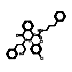 O=C(NCCCc1ccccc1)[C@@H]1c2ccccc2C(=O)N(C(CO)Cc2ccccc2)[C@H]1c1ccc(Cl)cc1Cl